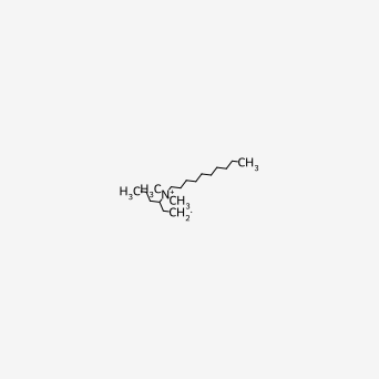 [CH2]CC(CCC)[N+](C)(C)CCCCCCCCCC